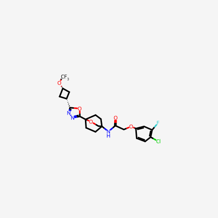 O=C(COc1ccc(Cl)c(F)c1)NC12CCC(c3nnc([C@H]4C[C@@H](OC(F)(F)F)C4)o3)(CC1)OC2